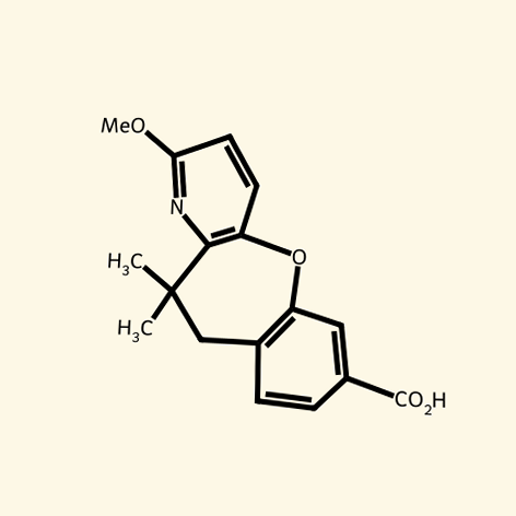 COc1ccc2c(n1)C(C)(C)Cc1ccc(C(=O)O)cc1O2